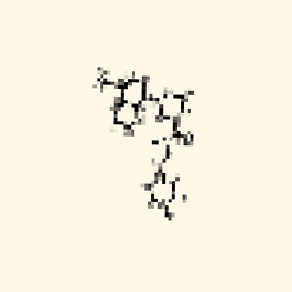 CC1CC(C(=O)NCCN2CCN(C)CC2)CN(c2ccc(C3C=N3)c3nccnc23)C1